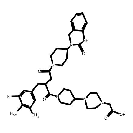 Cc1cc(CC(CC(=O)N2CCC(N3Cc4ccccc4NC3=O)CC2)C(=O)N2CCC(N3CCN(CC(=O)O)CC3)CC2)cc(Br)c1C